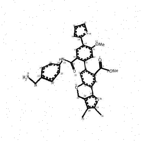 COC(=O)c1cc2c(cc1-c1cc(OC)c(-c3cccs3)cc1C(=O)Nc1ccc(CN)cc1)OCc1c-2sc(C)c1C